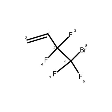 C=CC(F)(F)C(F)(F)Br